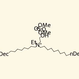 CCCCCCCCCCCCCCCCCCC[N+](CC)(CCO)CCCCCCCCCCCCCCCCCC.COS(=O)(=O)OC